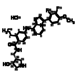 CCc1cc(Nc2nccn3c(-c4ccc(OC)c(F)c4F)cnc23)ccc1C(=O)NC[C@@H]1CNC[C@@H]1O.Cl